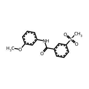 COc1cccc(NC(=O)c2cccc(S(C)(=O)=O)c2)c1